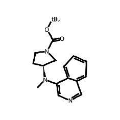 CN(c1cncc2ccccc12)[C@H]1CCN(C(=O)OC(C)(C)C)C1